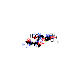 CCC(O)(CC)c1cc(F)c(Oc2ccc(N)c(C(O)(CC)CCNc3cc(-c4cnc(C5(O)CC5)c(N)c4)cnc3C3(O)CC3)n2)cc1N